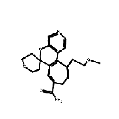 COCCC1CCC(C(N)=O)=CC2=C1c1ccncc1OC21CCOCC1